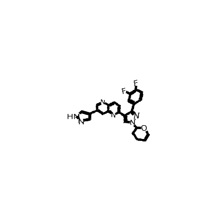 Fc1ccc(-c2nn(C3CCCCO3)cc2-c2ccc3ncc(-c4cn[nH]c4)cc3n2)cc1F